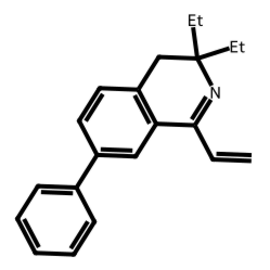 C=CC1=NC(CC)(CC)Cc2ccc(-c3ccccc3)cc21